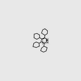 C1CCC(C2=C(C3CCCCC3)N(C3CCCCC3)N(C3CCCCC3)N=N2)CC1